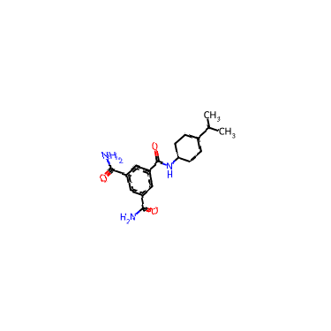 CC(C)C1CCC(NC(=O)c2cc(C(N)=O)cc(C(N)=O)c2)CC1